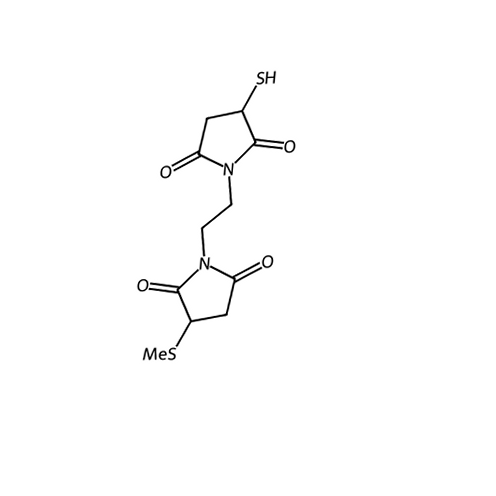 CSC1CC(=O)N(CCN2C(=O)CC(S)C2=O)C1=O